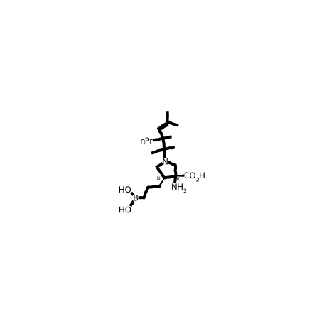 CCCC(C)(C=C(C)C)C(C)(C)N1C[C@H](CCCB(O)O)[C@](N)(C(=O)O)C1